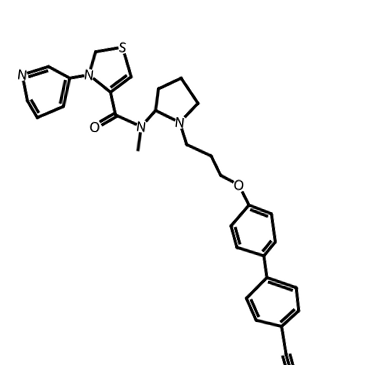 CN(C(=O)C1=CSCN1c1cccnc1)C1CCCN1CCCOc1ccc(-c2ccc(C#N)cc2)cc1